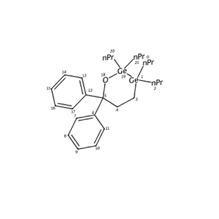 CC[CH2][Ge]1([CH2]CC)[CH2]CC(c2ccccc2)(c2ccccc2)[O][Ge]1([CH2]CC)[CH2]CC